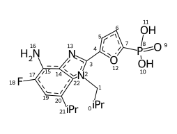 CC(C)Cn1c(-c2ccc(P(=O)(O)O)o2)nc2c(N)c(F)cc(C(C)C)c21